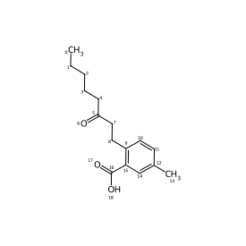 CCCCCC(=O)CCc1ccc(C)cc1C(=O)O